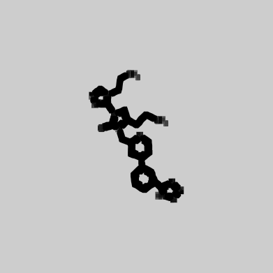 CCCc1cn(-c2nncn2CCC)c(=O)n1Cc1cc(-c2cccc(-c3nnn[nH]3)c2)ccn1